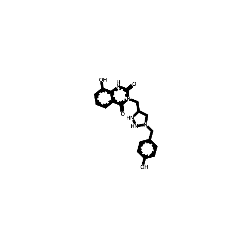 O=c1[nH]c2c(O)cccc2c(=O)n1CC1CN(Cc2ccc(O)cc2)NN1